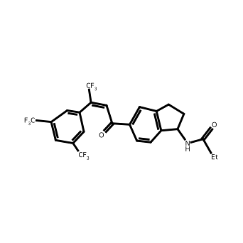 CCC(=O)NC1CCc2cc(C(=O)C=C(c3cc(C(F)(F)F)cc(C(F)(F)F)c3)C(F)(F)F)ccc21